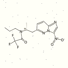 CCCN(C(=O)C(F)(F)F)[C@H](C)Cc1ccc2ncc([N+](=O)[O-])n2n1